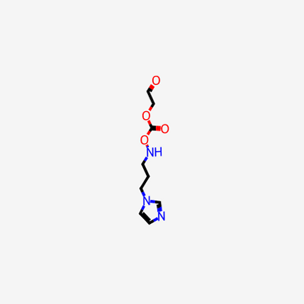 O=CCOC(=O)ONCCCn1ccnc1